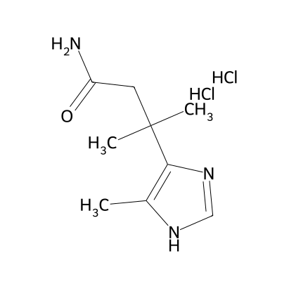 Cc1[nH]cnc1C(C)(C)CC(N)=O.Cl.Cl